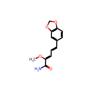 COC(=CC=Cc1ccc2c(c1)OCO2)C(N)=O